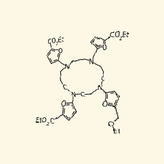 CCOCc1ccc(N2CCCN(c3ccc(C(=O)OCC)o3)CCN(c3ccc(C(=O)OCC)o3)CCCN(c3ccc(C(=O)OCC)o3)CC2)o1